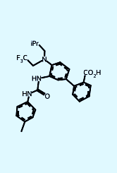 Cc1ccc(NC(=O)Nc2cc(-c3ccccc3C(=O)O)ccc2N(CC(C)C)CC(F)(F)F)cc1